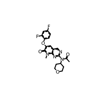 CC(=O)N(c1ncc2cc(Oc3ccc(F)cc3F)c(=O)n(C)c2n1)C1CCOCC1